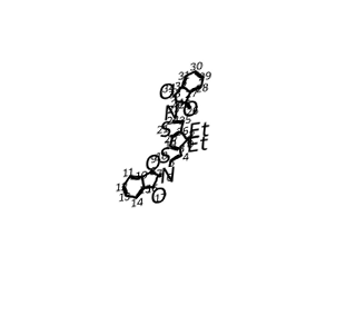 CCC1(CC)c2cc(N=c3c(=O)c4ccccc4c3=O)sc2-c2sc(N=c3c(=O)c4ccccc4c3=O)cc21